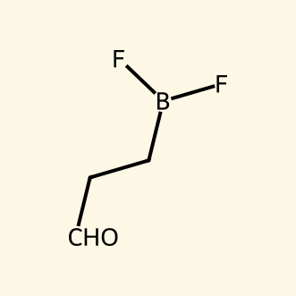 O=CCCB(F)F